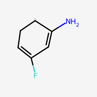 NC1=CC(F)=CC[CH]1